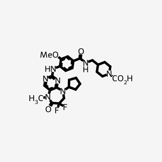 COc1cc(C(=O)NCC2CCN(C(=O)O)CC2)ccc1Nc1ncc2c(n1)N(C1CCCC1)CC(F)(F)C(=O)N2C